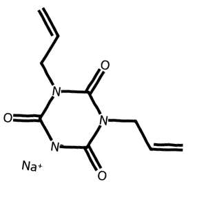 C=CCn1c(=O)[n-]c(=O)n(CC=C)c1=O.[Na+]